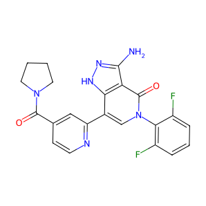 Nc1n[nH]c2c(-c3cc(C(=O)N4CCCC4)ccn3)cn(-c3c(F)cccc3F)c(=O)c12